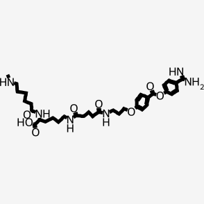 CNCCCCCC(=O)NC(CCCCNC(=O)CCCC(=O)NCCCOc1ccc(C(=O)Oc2ccc(C(=N)N)cc2)cc1)C(=O)O